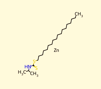 CCCCCCCCCCCCCCCCCCSC(=S)NC(C)C.[Zn]